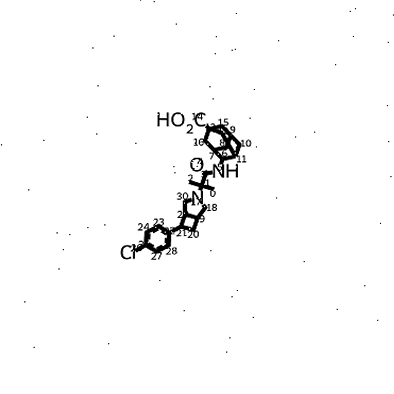 CC(C)(C(=O)NC1C2CC3CC1CC(C(=O)O)(C3)C2)N1CC2CC(c3ccc(Cl)cc3)C2C1